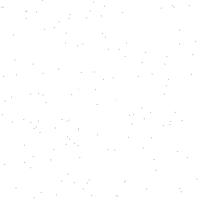 FC(F)(F)c1ccc(-c2nc(I)c(I)[nH]2)cn1